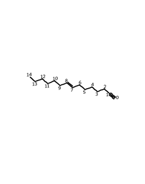 C#CCCCCCC=CCCCCCC